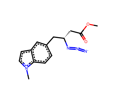 COC(=O)C[C@@H](Cc1ccc2c(ccn2C)c1)N=[N+]=[N-]